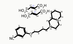 N#Cc1cccc(OCCCCN2CCN3CCCCC3C2)c1.O=C(O)/C=C/C(=O)O.O=C(O)/C=C/C(=O)O